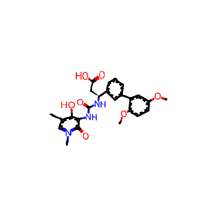 COc1ccc(OC)c(-c2cccc([C@H](CC(=O)O)NC(=O)Nc3c(O)c(C)cn(C)c3=O)c2)c1